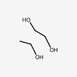 CCO.OCCO